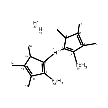 CC1=C(C)C(C)[C]([Hf+2][C]2=[C]([PbH3])C(C)=C(C)C2C)=[C]1[PbH3].[H-].[H-]